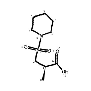 C[C@@H](CS(=O)(=O)N1CCCCC1)C(=O)O